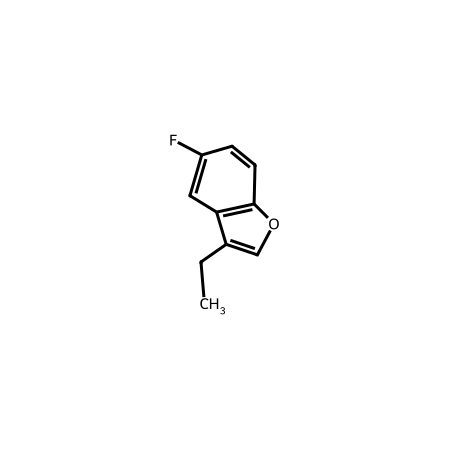 CCc1coc2ccc(F)cc12